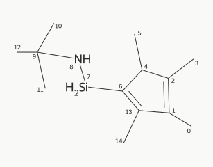 CC1=C(C)C(C)C([SiH2]NC(C)(C)C)=C1C